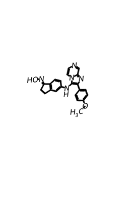 COc1ccc(-c2nc3cnccn3c2Nc2ccc3c(c2)CC/C3=N\O)cc1